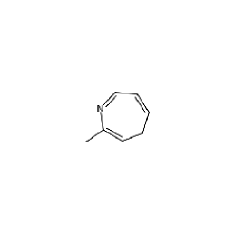 CC1=CCC=CC=N1